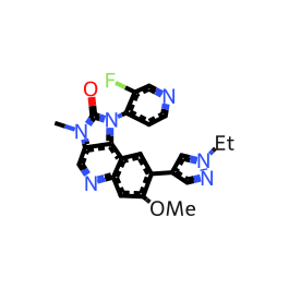 CCn1cc(-c2cc3c(cc2OC)ncc2c3n(-c3ccncc3F)c(=O)n2C)cn1